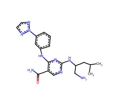 CC(C)CC(CN)Nc1ncc(C(N)=O)c(Nc2cccc(-n3nccn3)c2)n1